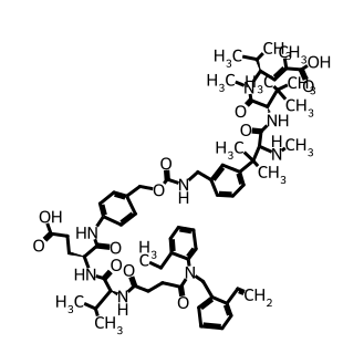 C=Cc1ccccc1CN(C(=O)CCC(=O)N[C@H](C(=O)N[C@@H](CCC(=O)O)C(=O)Nc1ccc(COC(=O)NCc2cccc(C(C)(C)C(NC)C(=O)N[C@H](C(=O)N(C)[C@H](/C=C(\C)C(=O)O)C(C)C)C(C)(C)C)c2)cc1)C(C)C)c1ccccc1CC